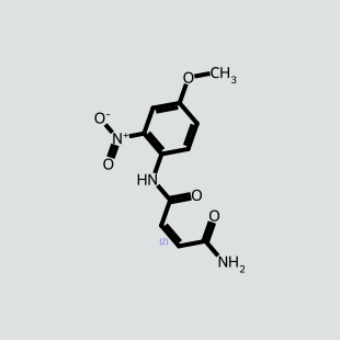 COc1ccc(NC(=O)/C=C\C(N)=O)c([N+](=O)[O-])c1